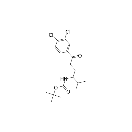 CC(C)C(CCC(=O)c1ccc(Cl)c(Cl)c1)NC(=O)OC(C)(C)C